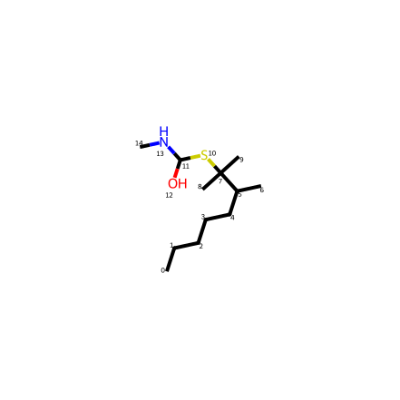 CCCCCC(C)C(C)(C)SC(O)NC